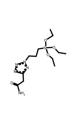 CCO[Si](CCCn1nnc(CC(N)=O)n1)(OCC)OCC